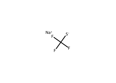 FC(F)(F)[S-].[Na+]